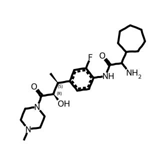 C[C@@H](c1ccc(NC(=O)C(N)C2CCCCCC2)c(F)c1)[C@@H](O)C(=O)N1CCN(C)CC1